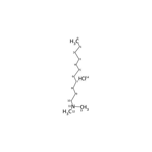 CCCCCCCCCCCN(C)C.Cl